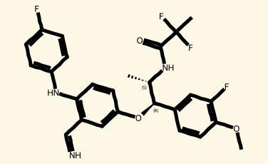 COc1ccc([C@@H](Oc2ccc(Nc3ccc(F)cc3)c(C=N)c2)[C@H](C)NC(=O)C(C)(F)F)cc1F